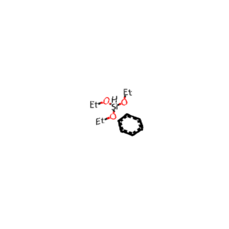 CCO[SiH](OCC)OCC.c1ccccc1